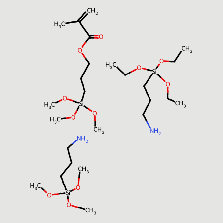 C=C(C)C(=O)OCCC[Si](OC)(OC)OC.CCO[Si](CCCN)(OCC)OCC.CO[Si](CCCN)(OC)OC